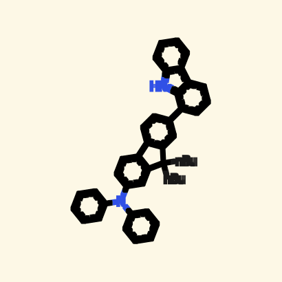 CCCCC1(CCCC)c2cc(-c3cccc4c3[nH]c3ccccc34)ccc2-c2ccc(N(c3ccccc3)c3ccccc3)cc21